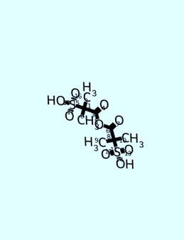 CC(C)(C(=O)OC(=O)C(C)(C)S(=O)(=O)O)S(=O)(=O)O